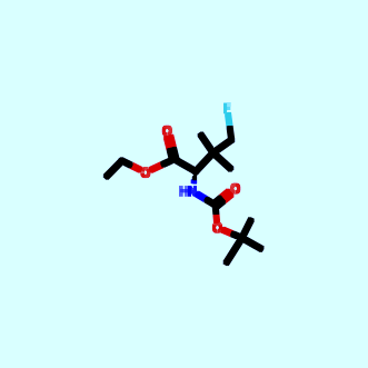 CCOC(=O)[C@@H](NC(=O)OC(C)(C)C)C(C)(C)CF